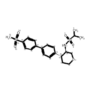 CC(C)S(=O)(=O)N[C@H]1COCC[C@@H]1c1ccc(-c2ccc(S(C)(=O)=O)cc2)cc1